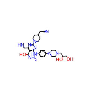 N#CCC1CCN(c2nc(C=N)c(C(N)O)c(Nc3ccc(N4CCN(CC(O)CO)CC4)cc3)n2)CC1